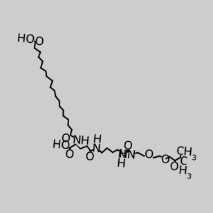 CC(C)C(=O)COCCOCCNC(=O)NCCCCNC(=O)CC[C@H](NC(=O)CCCCCCCCCCCCCCCCCCC(=O)O)C(=O)O